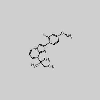 CCC(C)(C)c1cccn2cc(-c3ccc(OC)cc3F)nc12